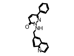 O=c1ccc(-c2ccccc2)nn1NCc1ccc2ncccc2c1